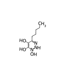 CCCCCC1=NNN(O)C(O)=C1O